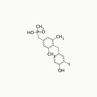 Cc1cc(CP(C)(=O)O)cc(C)c1Cc1ccc(O)c(I)c1